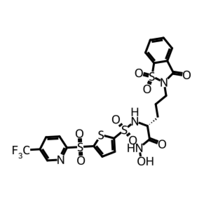 O=C(NO)[C@@H](CCCN1C(=O)c2ccccc2S1(=O)=O)NS(=O)(=O)c1ccc(S(=O)(=O)c2ccc(C(F)(F)F)cn2)s1